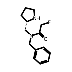 O=C(CF)N(Cc1ccccc1)C[C@@H]1CCCN1